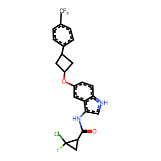 O=C(Nc1c[nH]c2ccc(OC3CC(c4ccc(C(F)(F)F)cc4)C3)cc12)C1CC1(F)Cl